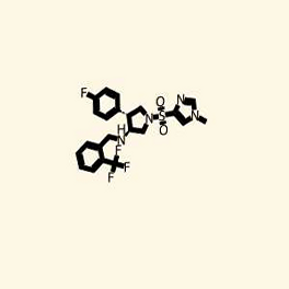 Cn1cnc(S(=O)(=O)N2C[C@@H](NCc3ccccc3C(F)(F)F)[C@H](c3ccc(F)cc3)C2)c1